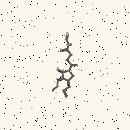 C=C/C=C1/CN(C(C)CCC(=O)NC=O)C(=O)/C1=C/CC